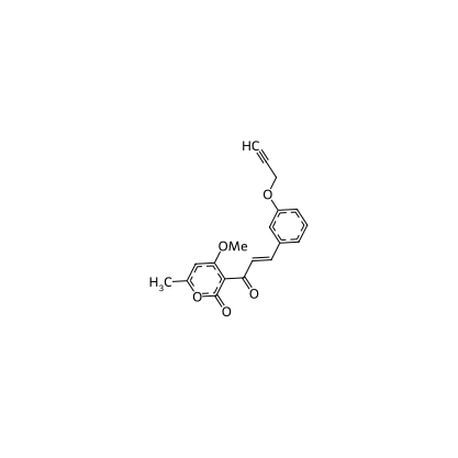 C#CCOc1cccc(C=CC(=O)c2c(OC)cc(C)oc2=O)c1